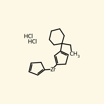 CCC1(C2=CC[C]([Zr][C]3=CC=CC3)=C2)CCCCC1.Cl.Cl